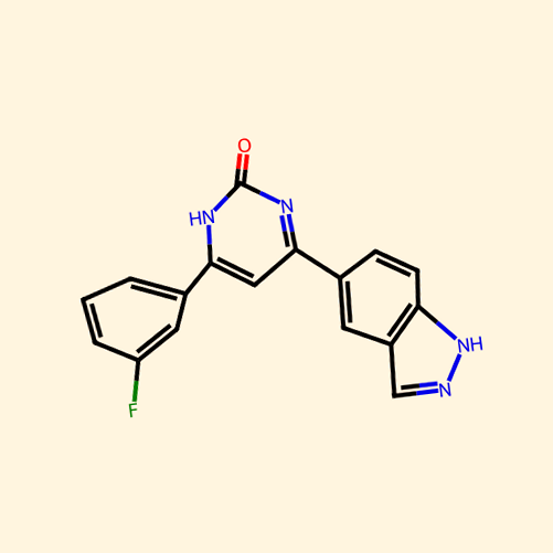 O=c1nc(-c2ccc3[nH]ncc3c2)cc(-c2cccc(F)c2)[nH]1